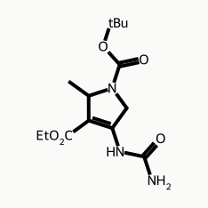 CCOC(=O)C1=C(NC(N)=O)CN(C(=O)OC(C)(C)C)C1C